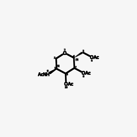 CC(=O)N[C@H]1CO[C@H](COC(C)=O)C(OC(C)=O)C1OC(C)=O